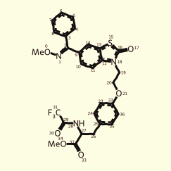 CON=C(c1ccccc1)c1ccc2c(c1)sc(=O)n2CCOc1ccc(CC(NC(=O)C(F)(F)F)C(=O)OC)cc1